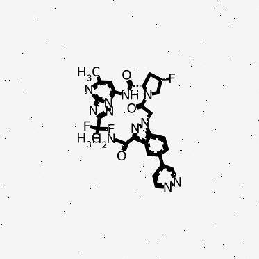 Cc1cc(NC(=O)[C@@H]2C[C@@H](F)CN2C(=O)Cn2nc(C(N)=O)c3cc(-c4ccnnc4)ccc32)n2nc(C(C)(F)F)nc2n1